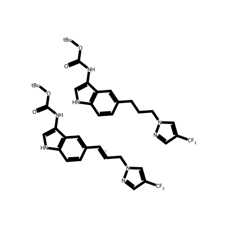 CC(C)(C)OC(=O)Nc1c[nH]c2ccc(/C=C/Cn3cc(C(F)(F)F)cn3)cc12.CC(C)(C)OC(=O)Nc1c[nH]c2ccc(CCCn3cc(C(F)(F)F)cn3)cc12